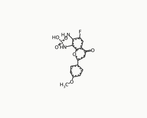 COc1ccc(-c2cc(=O)c3cc(F)c(N)c(NS(=O)(=O)O)c3o2)cc1